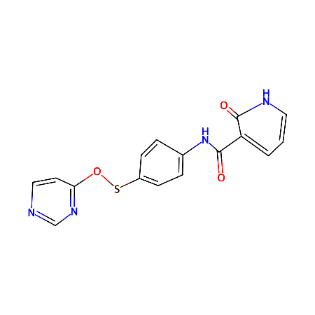 O=C(Nc1ccc(SOc2ccncn2)cc1)c1ccc[nH]c1=O